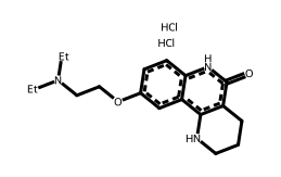 CCN(CC)CCOc1ccc2[nH]c(=O)c3c(c2c1)NCCC3.Cl.Cl